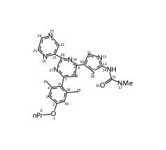 CCCOc1cc(C)c(-c2cc(-c3cnc(NC(=O)NC)s3)nc(-c3cnccn3)n2)c(C)c1